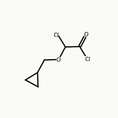 O=C(Cl)C(Cl)OCC1CC1